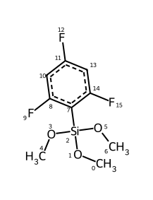 CO[Si](OC)(OC)c1c(F)cc(F)cc1F